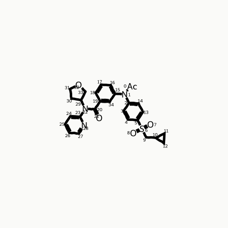 CC(=O)N(c1ccc(S(=O)(=O)CC2CC2)cc1)c1cccc(C(=O)N(c2ccccn2)C2CCOC2)c1